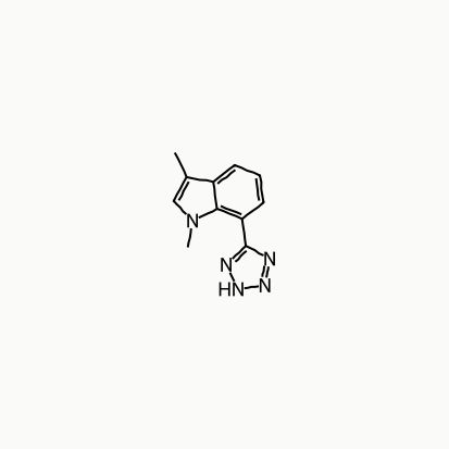 Cc1cn(C)c2c(-c3nn[nH]n3)cccc12